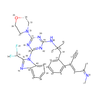 C#C/C(=C\C(C)=N/C)c1ccccc1CC(C)(C)Nc1nc(N2CCOCC2)nc(-n2c(C(F)F)nc3ccccc32)n1